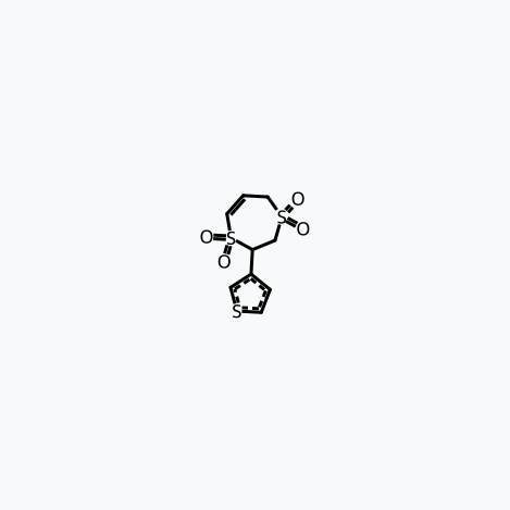 O=S1(=O)CC=CS(=O)(=O)C(c2ccsc2)C1